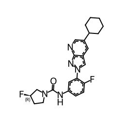 O=C(Nc1ccc(F)c(-n2cc3cc(C4CCCCC4)cnc3n2)c1)N1CC[C@@H](F)C1